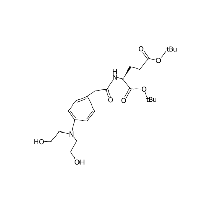 CC(C)(C)OC(=O)CC[C@H](NC(=O)Cc1ccc(N(CCO)CCO)cc1)C(=O)OC(C)(C)C